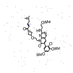 COCCNc1ncc2cc(-c3cc(OC)cc(OC)c3Cl)c(=O)n(CCOC3CN(C(=O)/C=C/CN(C)C)C3)c2n1